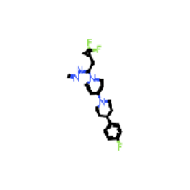 C=N/N=C(/CC1CC1(F)F)N1C=CC(N2CCC(c3ccc(F)cc3)CC2)=CC1